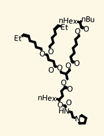 CC/C=C\CCCCOC(CCC(=O)OCC(COC(=O)CCCCCCOC(=O)C(CCCC)CCCCCC)COC(=O)CCC(CCCCCC)OC(=O)NCCN1CCCC1)OCCCC/C=C\CC